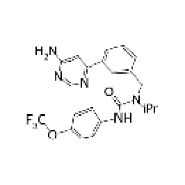 CC(C)N(Cc1cccc(-c2cc(N)ncn2)c1)C(=O)Nc1ccc(OC(F)(F)F)cc1